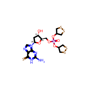 Nc1nc2c(ncn2[C@H]2C[C@H](O)[C@@H](COP(=O)(OC3CSSC3)OC3CSSC3)O2)c(=S)[nH]1